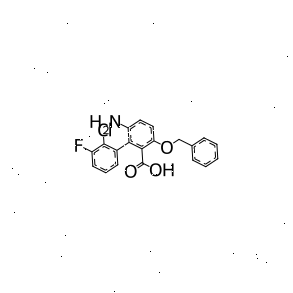 Nc1ccc(OCc2ccccc2)c(C(=O)O)c1-c1cccc(F)c1Cl